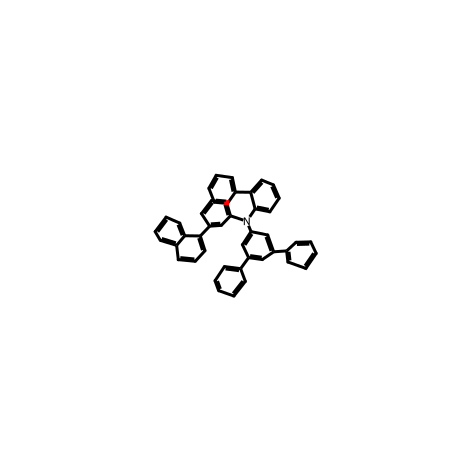 c1ccc(-c2cc(-c3ccccc3)cc(N(c3cccc(-c4cccc5ccccc45)c3)c3ccccc3-c3ccccc3)c2)cc1